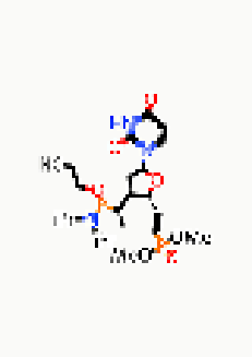 COP(=O)(/C=C/[C@H]1O[C@@H](n2ccc(=O)[nH]c2=O)C[C@@H]1[C@@H](C)P(OCCC#N)N(C(C)C)C(C)C)OC